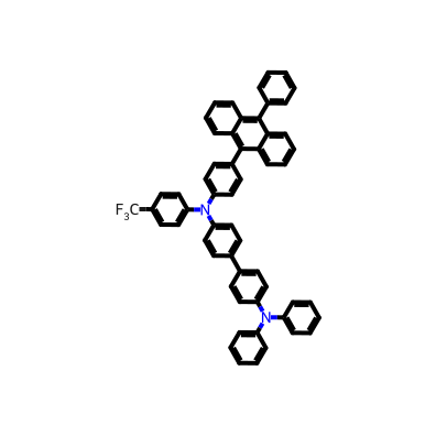 FC(F)(F)c1ccc(N(c2ccc(-c3ccc(N(c4ccccc4)c4ccccc4)cc3)cc2)c2ccc(-c3c4ccccc4c(-c4ccccc4)c4ccccc34)cc2)cc1